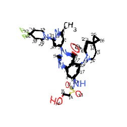 Cc1cc(-n2cnc3cc(NS(=O)(=O)CCO)cc(N4CCC5(CC4)CC5)c3c2=O)cc(N2CCC(F)(F)CC2)n1